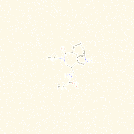 CN1CC(CNC(=O)C(F)(F)F)c2c[nH]c3cccc(c23)C1=O